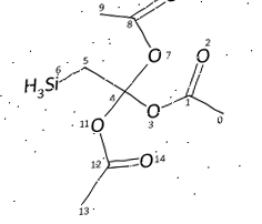 CC(=O)OC(C[SiH3])(OC(C)=O)OC(C)=O